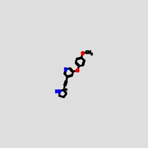 COc1ccc(Oc2cncc(C#C[C@@H]3CCCN3)c2)cc1